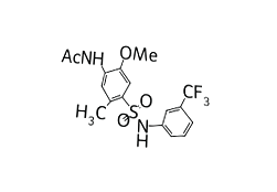 COc1cc(S(=O)(=O)Nc2cccc(C(F)(F)F)c2)c(C)cc1NC(C)=O